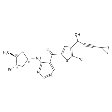 CC[C@H]1C[C@@H](Nc2ncncc2C(=O)c2cc(C(O)C#CC3CC3)c(Cl)s2)C[C@@H]1C